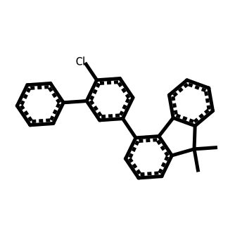 CC1(C)c2ccccc2-c2c(-c3ccc(Cl)c(-c4ccccc4)c3)cccc21